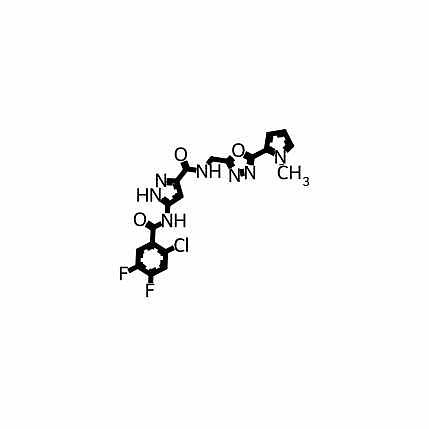 Cn1cccc1-c1nnc(CNC(=O)c2cc(NC(=O)c3cc(F)c(F)cc3Cl)[nH]n2)o1